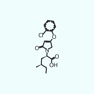 CC[C@@H](C)C[C@H](C(=O)O)N1CC(Oc2ccccc2Cl)=CC1=O